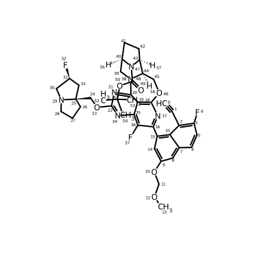 C#Cc1c(F)ccc2cc(OCOC)cc(-c3nc4c5c(nc(OC[C@@]67CCCN6C[C@@H](F)C7)nc5c3F)N3C[C@H]5CC[C@@H]([C@H]3CO4)N5C(=O)OC(C)(C)C)c12